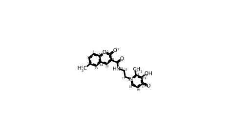 Cc1ccc2oc(=O)c(C(=O)NCCn3ccc(=O)c(O)c3C)cc2c1